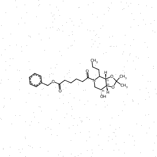 CCCC1[C@@H]2OC(C)(C)O[C@@H]2[C@H](O)CN1C(=O)CCCCC(=O)OCc1ccccc1